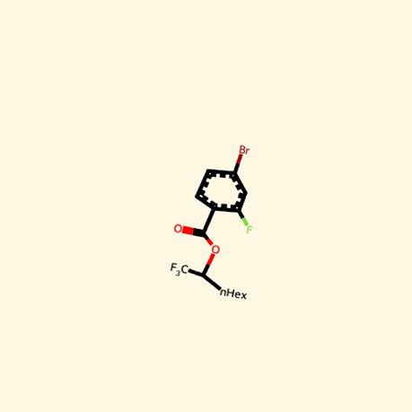 CCCCCCC(OC(=O)c1ccc(Br)cc1F)C(F)(F)F